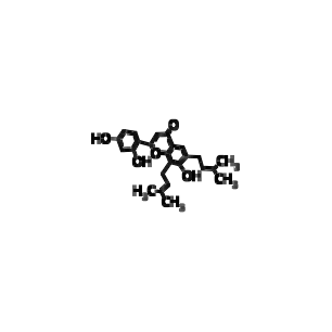 CC(C)=CCc1cc2c(=O)cc(-c3ccc(O)cc3O)oc2c(CC=C(C)C)c1O